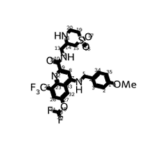 COc1ccc(CNc2cc(C(=O)NCC3CS(=O)(=O)CCN3)nc3c(C(F)(F)F)cc(OC(F)F)cc23)cc1